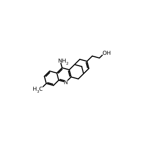 Cc1ccc2c(N)c3c(nc2c1)CC1C=C(CCO)CC3C1